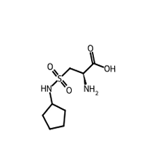 N[C@@H](CS(=O)(=O)NC1CCCC1)C(=O)O